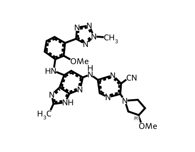 COc1c(Nc2cc(Nc3cnc(N4CC[C@@H](OC)C4)c(C#N)n3)nc3[nH]c(C)nc23)cccc1-c1nnn(C)n1